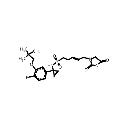 CC(C)(C)COc1cc(C2(NS(=O)(=O)CC/C=C/CN3CC(=O)NC3=O)CC2)ccc1F